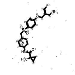 CC1(C(=O)NC23CCC(CS(=O)(=O)c4ccc(OCC(=CF)CN)cc4)(CC2)CC3)CC1